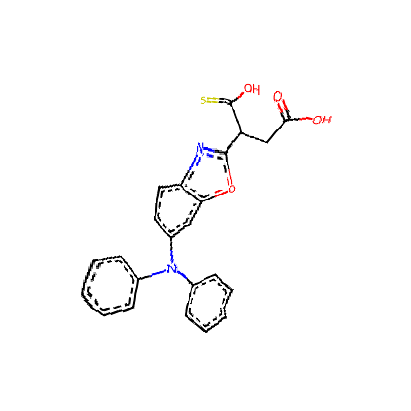 O=C(O)CC(C(O)=S)c1nc2ccc(N(c3ccccc3)c3ccccc3)cc2o1